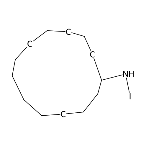 INC1CCCCCCCCCCCC1